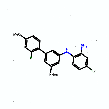 COc1ccc(-c2cc(NC(C)=O)cc(Nc3ccc(Br)cc3N)c2)c(F)c1